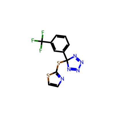 FC(F)(F)c1cccc(C2(Sc3nccs3)N=NN=N2)c1